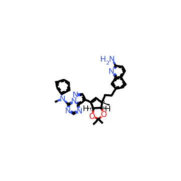 CN(c1ccccc1)c1ncnc2c(C3=C[C@](C)(CCc4ccc5ccc(N)nc5c4)[C@H]4OC(C)(C)O[C@@H]34)cnn12